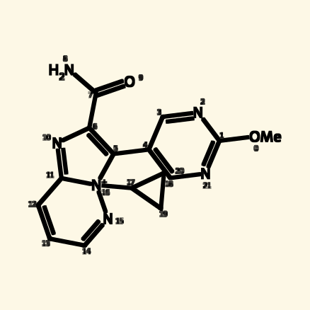 COc1ncc(C2=C(C(N)=O)N=C3C=CC=N[N+]32C2CC2)cn1